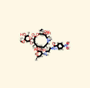 CC[C@H]1OC(=O)[C@H](C)[C@@H](O[C@H]2C[C@@](C)(OC)[C@@H](O)[C@H](C)O2)[C@H](C)[C@@H](O[C@@H]2O[C@H](C)C[C@H](N(C)CCCNC(=O)c3ccc([N+](=O)[O-])cc3)[C@H]2O)[C@](C)(O)C[C@@H](C)CN(C)[C@H](C)[C@@H](O)[C@]1(C)O